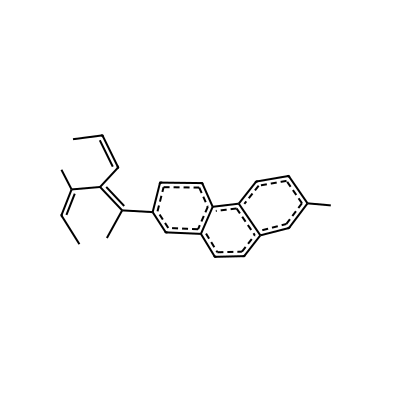 C\C=C/C(C(/C)=C\C)=C(/C)c1ccc2c(ccc3cc(C)ccc32)c1